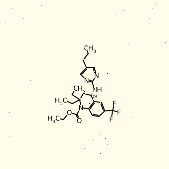 CCCc1cnc(N[C@H]2CC(CC)(CC)N(C(=O)OCC)c3ccc(C(F)(F)F)cc32)nc1